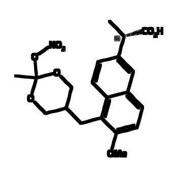 COc1ccc2cc([C@H](C)C(=O)O)ccc2c1CC1COC(C)(O[N+](=O)[O-])OC1